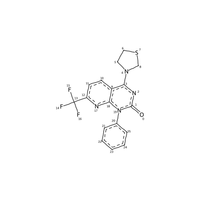 O=c1nc(N2CCSC2)c2ccc(C(F)(F)F)nc2n1-c1ccccc1